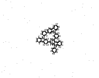 c1ccc(-n2c3ccccc3c3ccc(-c4nc(-c5cccc(-n6c7ccccc7c7ccccc76)c5)c5c6ccccc6n(-c6ccccc6)c5n4)cc32)cc1